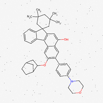 CC1(C)CC(C)(C)CC2(C1)c1ccccc1-c1c2cc(O)c2cc(-c3ccc(N4CCOCC4)cc3)c(OC3CC4CCC3C4)cc12